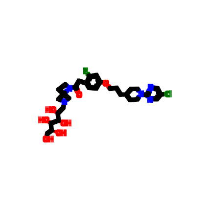 O=C(Cc1ccc(OCCCC2CCN(c3ncc(Cl)cn3)CC2)cc1F)N1CCC12CN(C[C@H](O)[C@@H](O)[C@H](O)[C@H](O)CO)C2